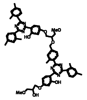 COCC(O)COc1ccc(-c2nc(-c3ccc(C)cc3C)nc(-c3ccc(COC(COC)COc4ccc(-c5nc(-c6ccc(C)cc6C)nc(-c6ccc(C)cc6C)n5)c(O)c4)cc3C)n2)c(O)c1